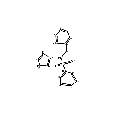 O=S(=O)(NCc1ccccn1)c1ccccc1.c1c[nH]cn1